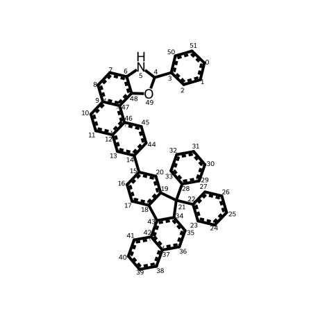 c1ccc(C2Nc3ccc4ccc5cc(-c6ccc7c(c6)C(c6ccccc6)(c6ccccc6)c6ccc8ccccc8c6-7)ccc5c4c3O2)cc1